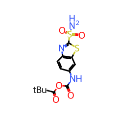 CC(C)(C)C(=O)OC(=O)Nc1ccc2nc(S(N)(=O)=O)sc2c1